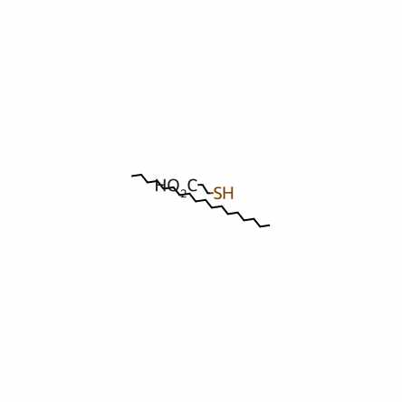 CCCCCCCCCCCCCCCCCC.O=C(O)CCS